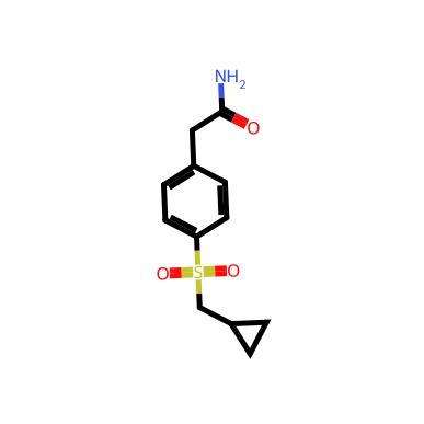 NC(=O)Cc1ccc(S(=O)(=O)CC2CC2)cc1